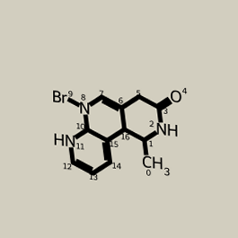 CC1NC(=O)CC2=CN(Br)C3NC=CC=C3C21